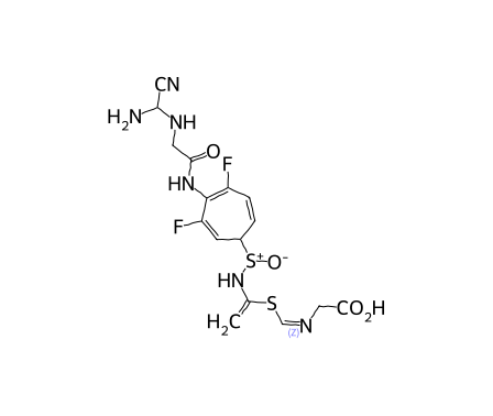 C=C(N[S+]([O-])C1C=CC(F)=C(NC(=O)CNC(N)C#N)C(F)=C1)S/C=N\CC(=O)O